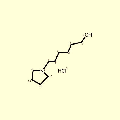 Cl.OCCCCCCN1CCCC1